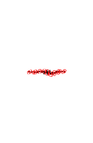 C=CC(=O)OCCCCOC(=O)Oc1ccc(C(=O)Oc2ccc(C(=O)O[C@H]3CO[C@H]4[C@H]3OC[C@H]4OC(=O)c3ccc(OC(=O)c4ccc(OC(=O)OCCCCOC(=O)C=C)cc4)cc3)cc2)cc1